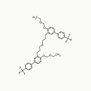 CCOCOc1ccc(-c2ccc(C(F)(F)F)cc2)cc1CCCSCCCc1cc(-c2ccc(C(F)(F)F)cc2)ccc1OCOCC